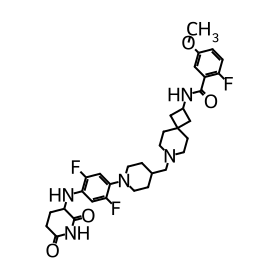 COc1ccc(F)c(C(=O)NC2CC3(CCN(CC4CCN(c5cc(F)c(NC6CCC(=O)NC6=O)cc5F)CC4)CC3)C2)c1